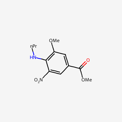 CCCNc1c(OC)cc(C(=O)OC)cc1[N+](=O)[O-]